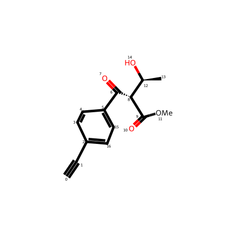 C#Cc1ccc(C(=O)[C@@H](C(=O)OC)[C@H](C)O)cc1